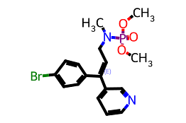 COP(=O)(OC)N(C)C/C=C(\c1ccc(Br)cc1)c1cccnc1